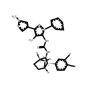 CCN1[C@@H]2CC[C@H]1[C@@H](c1ccc(F)c(F)c1)[C@@H]2NC(=O)Nc1c(C)c(-c2cnn(C)c2)nn1-c1ccccc1